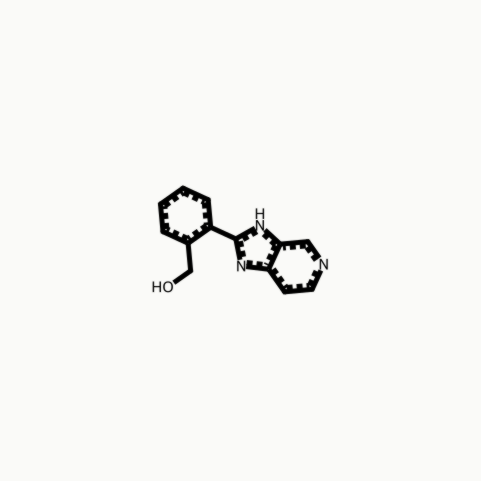 OCc1ccccc1-c1nc2ccncc2[nH]1